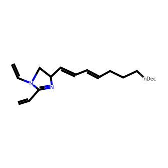 C=CC1=NC(C=CC=CCCCCCCCCCCCCC)CN1C=C